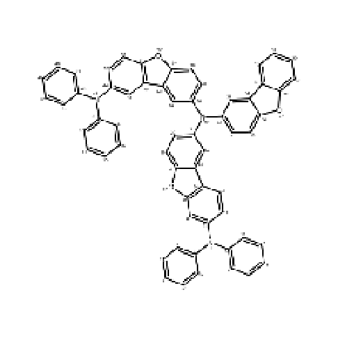 c1ccc(N(c2ccccc2)c2ccc3c(c2)oc2ccc(N(c4ccc5oc6ccccc6c5c4)c4ccc5oc6ccc(N(c7ccccc7)c7ccccc7)cc6c5c4)cc23)cc1